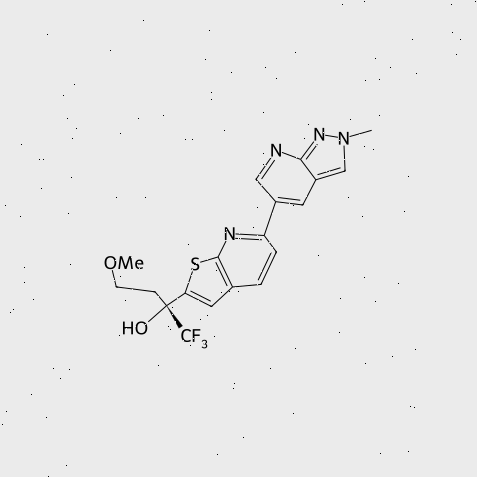 COCC[C@@](O)(c1cc2ccc(-c3cnc4nn(C)cc4c3)nc2s1)C(F)(F)F